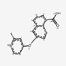 Cc1cc(Oc2ccc3c(C(=O)O)cccc3c2)ccn1